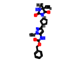 CC1(C)NC(=O)N([C@@H]2CC[C@@H](c3cc(NC(=O)OCc4ccccc4)n(C(C)(C)C)n3)C2)C1=O